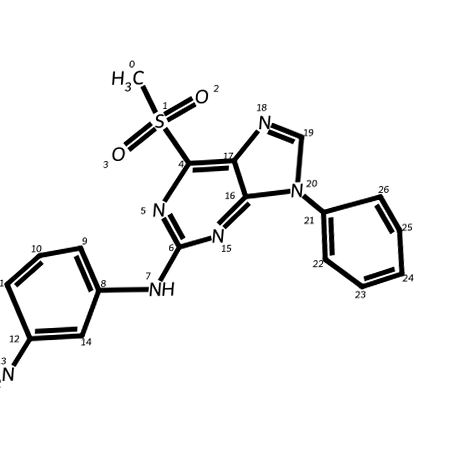 CS(=O)(=O)c1nc(Nc2cccc(N)c2)nc2c1ncn2-c1ccccc1